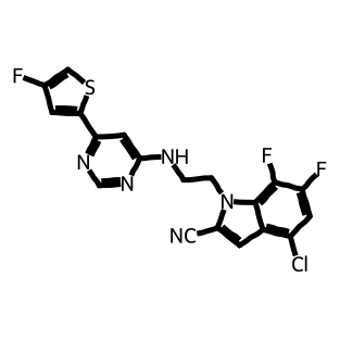 N#Cc1cc2c(Cl)cc(F)c(F)c2n1CCNc1cc(-c2cc(F)cs2)ncn1